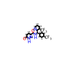 O=C(NC(c1ccc(C(F)(F)F)cc1)c1ncccc1C(F)(F)F)c1ccc(=O)[nH]n1